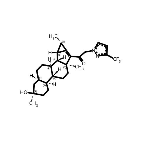 C[C@@H]1C2=C(C(=O)Cn3ccc(C(F)(F)F)n3)[C@@]3(C)CC[C@H]4[C@@H](CC[C@@H]5C[C@](C)(O)CC[C@@H]54)[C@@H]3[C@@H]21